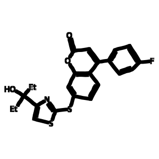 CCC(O)(CC)c1csc(Sc2ccc3c(-c4ccc(F)cc4)cc(=O)oc3c2)n1